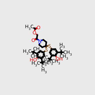 CC(=O)OCC(=O)N1CCC(Sc2cc(C(C)(C)C)c(O)c(C(C)(C)C)c2)(Sc2cc(C(C)(C)C)c(O)c(C(C)(C)C)c2)CC1